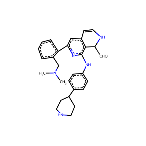 CN(C)Cc1ccccc1-c1cc2c(c(Nc3ccc(C4CCNCC4)cc3)n1)C(C=O)NC=C2